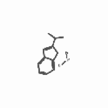 CC(C)C1=Cc2ccccc2[CH]1.[Br][Hf][Br]